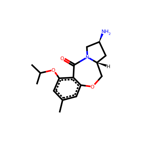 Cc1cc2c(c(OC(C)C)c1)C(=O)N1C[C@@H](N)C[C@@H]1CO2